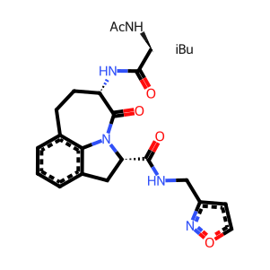 CC[C@H](C)[C@H](NC(C)=O)C(=O)N[C@H]1CCc2cccc3c2N(C1=O)[C@H](C(=O)NCc1ccon1)C3